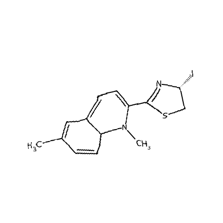 CC1=CC2=CC=C(C3=N[C@H](I)CS3)N(C)C2C=C1